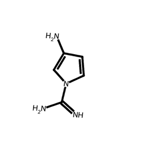 N=C(N)n1ccc(N)c1